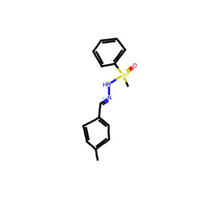 Cc1ccc(/C=N/N[SH](C)(=O)c2ccccc2)cc1